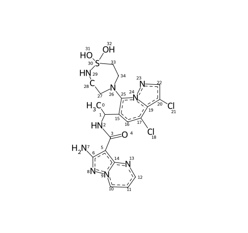 CC(NC(=O)c1c(N)nn2cccnc12)c1cc(Cl)c2c(Cl)cnn2c1N1CCNS(O)(O)CC1